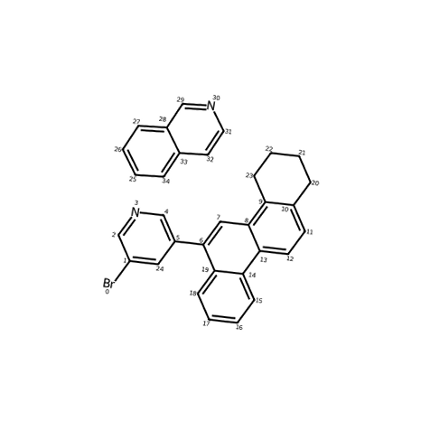 Brc1cncc(-c2cc3c4c(ccc3c3ccccc23)CCCC4)c1.c1ccc2cnccc2c1